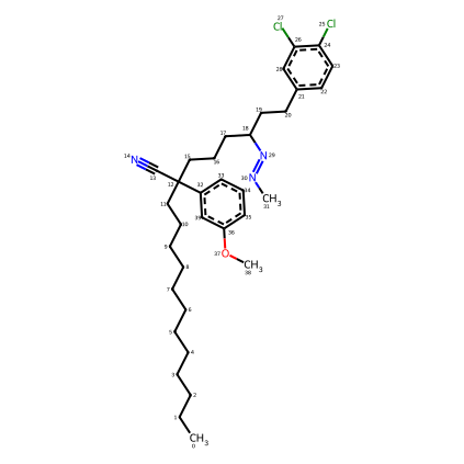 CCCCCCCCCCCCC(C#N)(CCCC(CCc1ccc(Cl)c(Cl)c1)N=NC)c1cccc(OC)c1